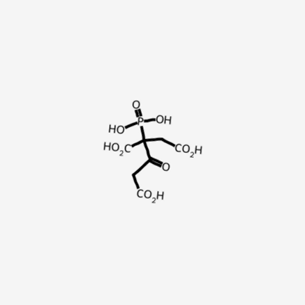 O=C(O)CC(=O)C(CC(=O)O)(C(=O)O)P(=O)(O)O